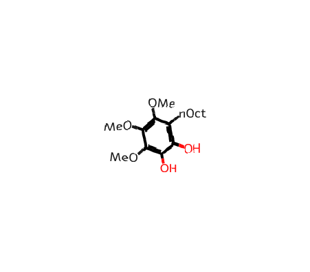 CCCCCCCCc1c(O)c(O)c(OC)c(OC)c1OC